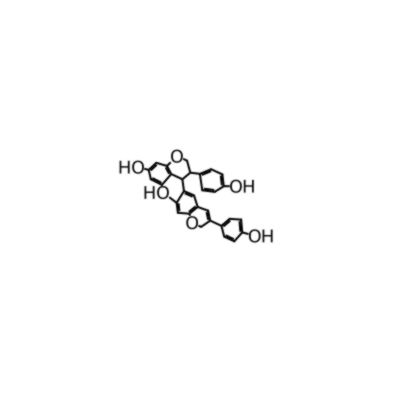 Oc1ccc(C2=Cc3cc(C4c5ccc(O)cc5OCC4c4ccc(O)cc4)c(O)cc3OC2)cc1